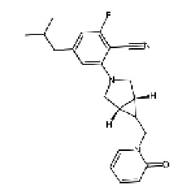 CC(C)Cc1cc(F)c(C#N)c(N2C[C@@H]3C(Cn4ccccc4=O)[C@@H]3C2)c1